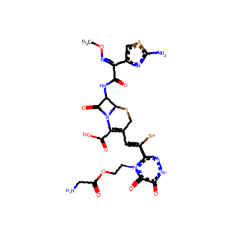 CON=C(C(=O)NC1C(=O)N2C(C(=O)O)=C(C=C(S)c3n[nH]c(=O)c(=O)n3CCOC(=O)CN)CSC12)c1csc(N)n1